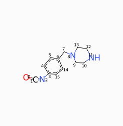 O=C=Nc1ccc(CN2CCNCC2)cc1